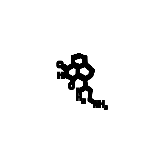 NCCC(N)c1ccc2cccc3c2c1C(=O)NC3=O